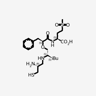 CC[C@H](C)[C@@H](CO[C@@H](Cc1ccccc1)C(=O)N[C@@H](CCS(C)(=O)=O)C(=O)O)NC[C@@H](N)CS